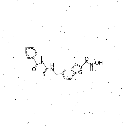 O=C(NC(=S)NCc1ccc2sc(C(=O)NO)cc2c1)c1ccccc1